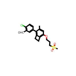 Cc1cc(OCCCS(C)(=O)=O)c2c(c1-c1ccc(Cl)c(C=O)c1)CC2